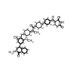 COc1cc(-c2cn(C)c(=O)c3ccccc23)cc(Cl)c1CN1CCC(N(C)C(=O)C2CCN(c3ccc(NC4CCC(=O)NC4=O)cc3)CC2)CC1